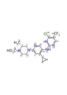 C[C@@H]1CN(c2cc(C3CC3)c(Nc3ncc(C(F)(F)F)c(Cl)n3)cn2)CCN1C(=O)O